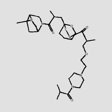 CC(C)C(=O)N1CCN(CCOCC(C)C(=O)N2CC3(CC(C)C(=O)N4CC5CCC4CN5C)CCC2CO3)CC1